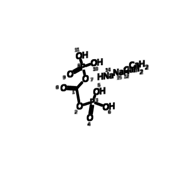 O=C(OP(=O)(O)O)OP(=O)(O)O.[CaH2].[CaH2].[NaH].[NaH]